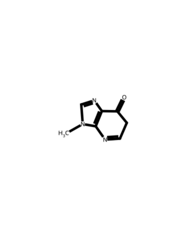 Cn1cnc2c1N=CCC2=O